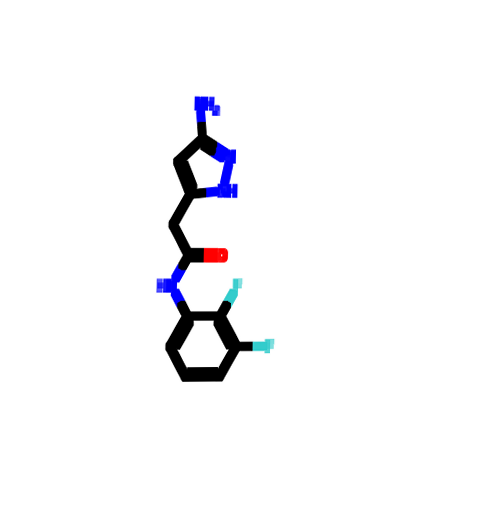 Nc1cc(CC(=O)Nc2cccc(F)c2F)[nH]n1